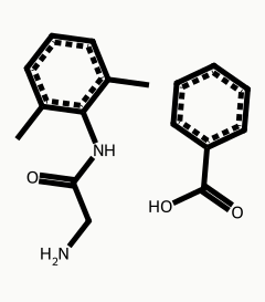 Cc1cccc(C)c1NC(=O)CN.O=C(O)c1ccccc1